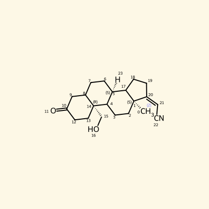 C[C@]12CCC3[C@@H](CCC4CC(=O)CC[C@@]43CO)C1CC/C2=C/C#N